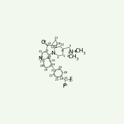 CN(C)CC1CCN(c2c(C(=O)C3CC3)cnc3ccc(-c4ccc(C(F)F)cc4)cc23)CC1